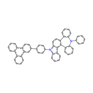 c1ccc(N2c3ccccc3-c3ccc4c(c3-c3ccccc32)c2ccccc2n4-c2ccc(-c3ccc4c5ccccc5c5ccccc5c4c3)cc2)cc1